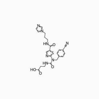 N#Cc1ccc(CN(C(=O)NCCC(=O)O)c2ncc(C(=O)NCCCn3ccnc3)s2)cc1